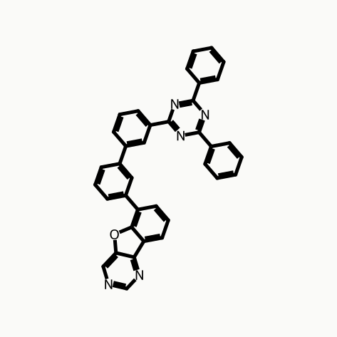 c1ccc(-c2nc(-c3ccccc3)nc(-c3cccc(-c4cccc(-c5cccc6c5oc5cncnc56)c4)c3)n2)cc1